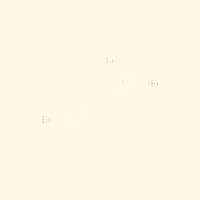 CP(CCP(C(C)(C)C)C(C)(C)C)C(C)(C)C